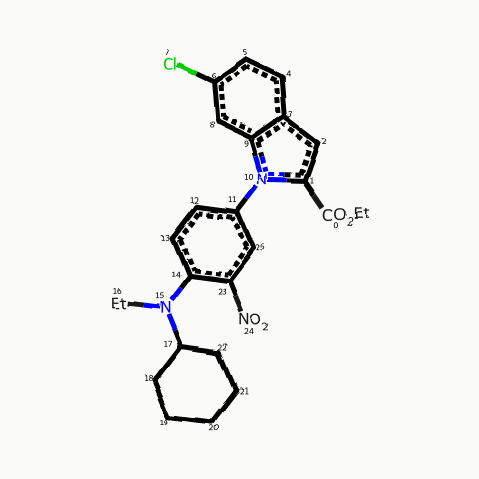 CCOC(=O)c1cc2ccc(Cl)cc2n1-c1ccc(N(CC)C2CCCCC2)c([N+](=O)[O-])c1